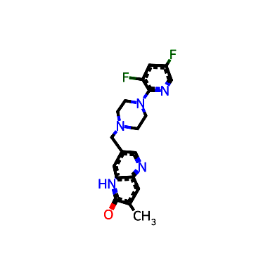 Cc1cc2ncc(CN3CCN(c4ncc(F)cc4F)CC3)cc2[nH]c1=O